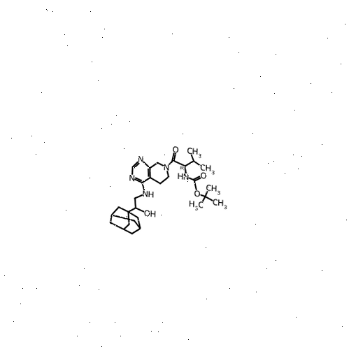 CC(C)[C@@H](NC(=O)OC(C)(C)C)C(=O)N1CCc2c(ncnc2NCC(O)C23CC4CC(CC(C4)C2)C3)C1